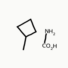 CC1CCC1.NC(=O)O